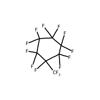 FC(F)(F)C1(F)C(F)(F)C(F)(F)C(F)(F)C(F)(F)C1(F)F